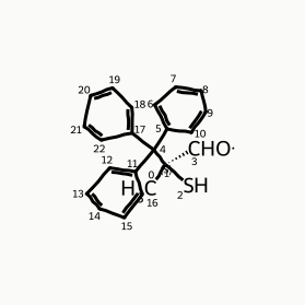 C[C@@](S)([C]=O)C(c1ccccc1)(c1ccccc1)c1ccccc1